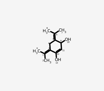 CC(C)=C1CC(=C(C)C)C(O)C=C1O